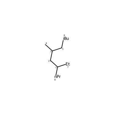 CCCC([CH]C(C)CC(C)CC)CC